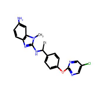 CCC(Nc1nc2ccc(N)cc2n1C)c1ccc(Oc2ncc(Cl)cn2)cc1